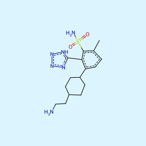 Cc1ccc(C2CCC(CCN)CC2)c(-c2nnn[nH]2)c1S(N)(=O)=O